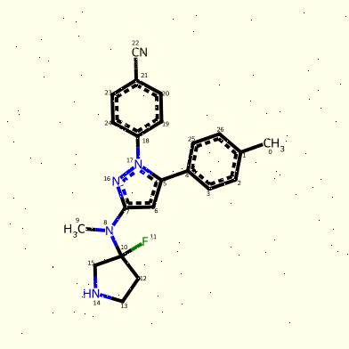 Cc1ccc(-c2cc(N(C)C3(F)CCNC3)nn2-c2ccc(C#N)cc2)cc1